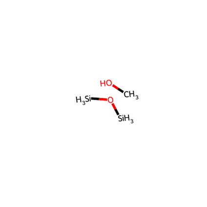 CO.[SiH3]O[SiH3]